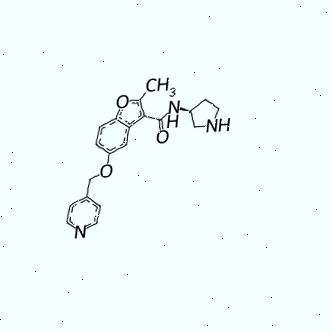 Cc1oc2ccc(OCc3ccncc3)cc2c1C(=O)N[C@H]1CCNC1